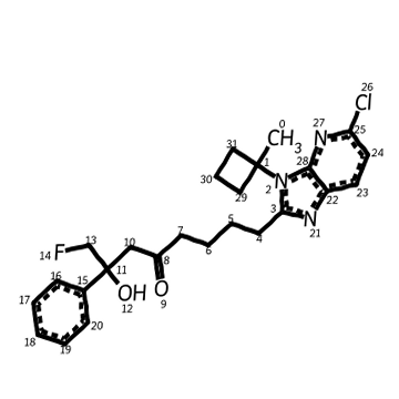 CC1(n2c(CCCCC(=O)CC(O)(CF)c3ccccc3)nc3ccc(Cl)nc32)CCC1